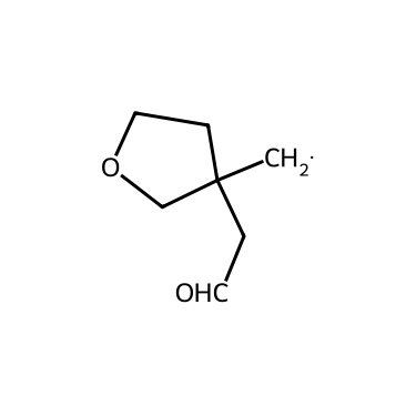 [CH2]C1(CC=O)CCOC1